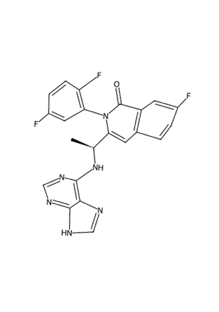 C[C@H](Nc1ncnc2[nH]cnc12)c1cc2ccc(F)cc2c(=O)n1-c1cc(F)ccc1F